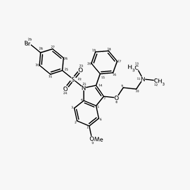 COc1ccc2c(c1)c(OCCN(C)C)c(-c1ccccc1)n2S(=O)(=O)c1ccc(Br)cc1